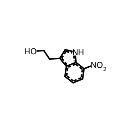 O=[N+]([O-])c1cccc2c(CCO)c[nH]c12